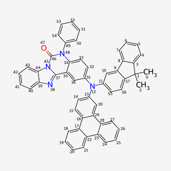 CC1(C)c2ccccc2-c2cc(N(c3ccc4c5ccccc5c5ccccc5c4c3)c3ccc4c(c3)c3nc5ccccc5n3c(=O)n4-c3ccccc3)ccc21